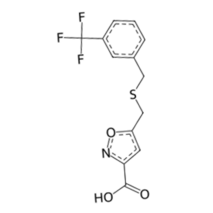 O=C(O)c1cc(CSCc2cccc(C(F)(F)F)c2)on1